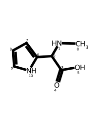 CNC(C(=O)O)c1ccc[nH]1